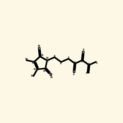 C=C(C)C(=O)C(=O)CCCN1C(=O)C(C)=C(C)C1=O